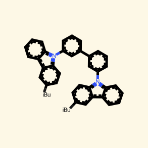 CCC(C)c1ccc2c(c1)c1ccccc1n2-c1cccc(-c2cccc(-n3c4ccccc4c4cc(C(C)CC)ccc43)c2)c1